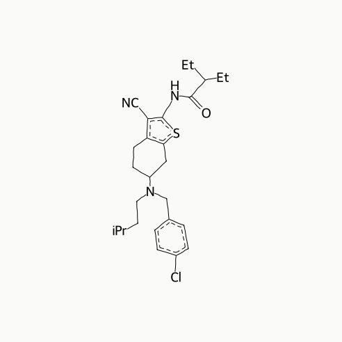 CCC(CC)C(=O)Nc1sc2c(c1C#N)CCC(N(CCC(C)C)Cc1ccc(Cl)cc1)C2